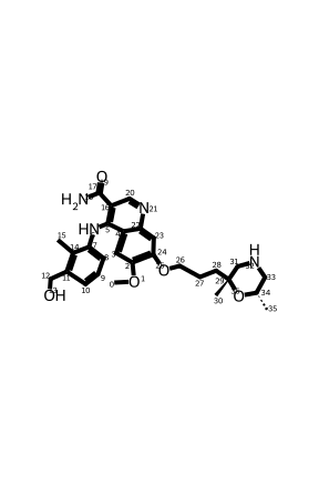 COc1cc2c(Nc3cccc(CO)c3C)c(C(N)=O)cnc2cc1OCCC[C@]1(C)CNC[C@H](C)O1